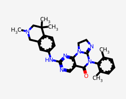 Cc1cccc(C)c1N1C(=O)c2cnc(Nc3ccc4c(c3)CN(C)CC4(C)C)nc2N2CCN=C21